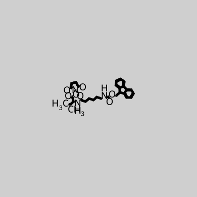 CC(C)[C@H](NC(=O)CCCCCNC(=O)OCC1c2ccccc2-c2ccccc21)C(=O)ON1C(=O)CCC1=O